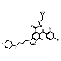 O=C(NOCC1CC1)c1cc2c(ncn2CCCNC2CCNCC2)c(F)c1Nc1ccc(Br)cc1Cl